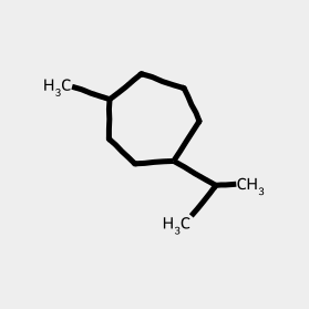 C[C](C)C1CCCC(C)CC1